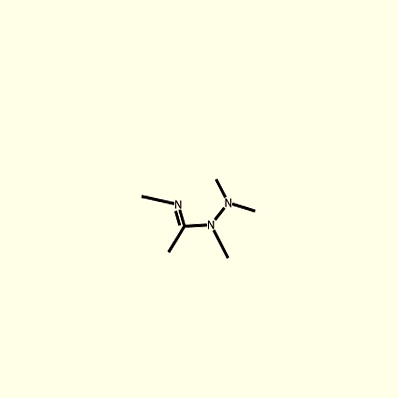 C/N=C(\C)N(C)N(C)C